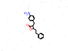 Nc1ccc(CC2C(=O)OC2CCc2ccccc2)cc1